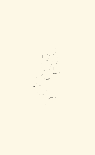 COC(=O)[C@H]1CC[C@]2(C)CC[C@]3(C)C(=CC(=O)[C@@H]4[C@@]5(C)CC[C@H](O)C(C)(C)[C@@H]5CC[C@]43C)[C@H]2C1